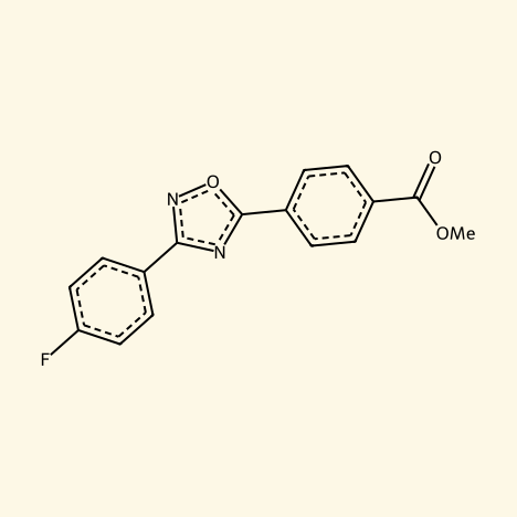 COC(=O)c1ccc(-c2nc(-c3ccc(F)cc3)no2)cc1